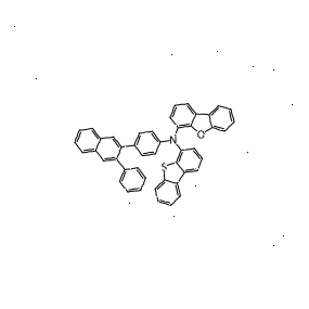 c1ccc(-c2cc3ccccc3cc2-c2ccc(N(c3cccc4c3oc3ccccc34)c3cccc4c3sc3ccccc34)cc2)cc1